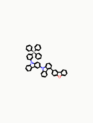 c1ccc([Si](c2ccccc2)(c2ccccc2)c2cccc(-n3c4ccccc4c4cc(-n5c6ccccc6c6c(-c7ccc8oc9ccccc9c8c7)cccc65)ccc43)c2)cc1